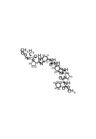 COO/C=N\[C@H](C)C(=O)N1CCC[C@H]1c1nc2cc(NC(=O)Nc3ccc4nc([C@@H]5CCCN5C(=O)[C@H](NC(=O)OC)c5ccccc5)[nH]c4c3)ccc2[nH]1